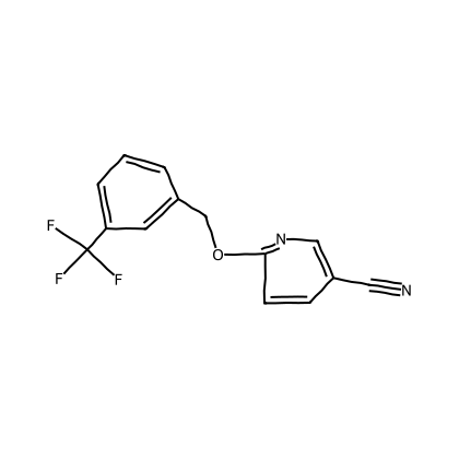 N#Cc1ccc(OCc2cccc(C(F)(F)F)c2)nc1